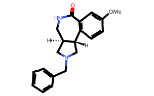 COc1ccc2c(c1)C(=O)NC[C@@H]1CN(Cc3ccccc3)C[C@@H]21